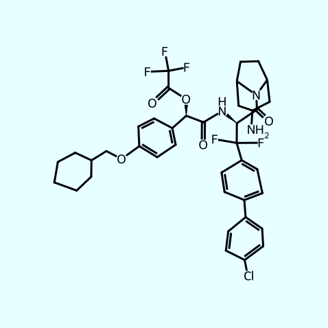 NC1CC2CCC(C1)N2C(=O)[C@H](NC(=O)[C@H](OC(=O)C(F)(F)F)c1ccc(OCC2CCCCC2)cc1)C(F)(F)c1ccc(-c2ccc(Cl)cc2)cc1